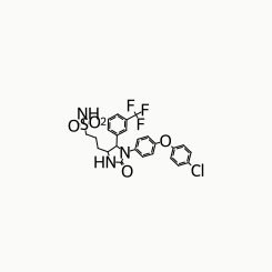 NS(=O)(=O)CCCC1NC(=O)N(c2ccc(Oc3ccc(Cl)cc3)cc2)C1c1cccc(C(F)(F)F)c1